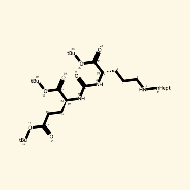 CCCCCCCNCCC[C@H](NC(=O)N[C@@H](CCC(=O)OC(C)(C)C)C(=O)OC(C)(C)C)C(=O)OC(C)(C)C